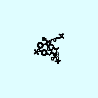 CC(C)N(Cc1nc(-c2ccccc2)c(Br)n1COCC[Si](C)(C)C)C(=O)[C@H](Cc1ccc(OC(C)(C)C)cc1)NC(=O)OC(C)(C)C